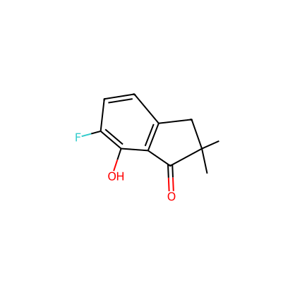 CC1(C)Cc2ccc(F)c(O)c2C1=O